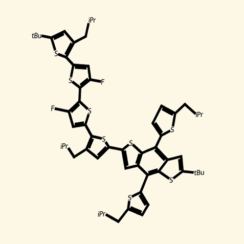 CC(C)Cc1ccc(-c2c3cc(C(C)(C)C)sc3c(-c3ccc(CC(C)C)s3)c3cc(-c4cc(CC(C)C)c(-c5cc(F)c(-c6sc(-c7sc(C(C)(C)C)cc7CC(C)C)cc6F)s5)s4)sc23)s1